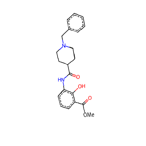 COC(=O)c1cccc(NC(=O)C2CCN(Cc3ccccc3)CC2)c1O